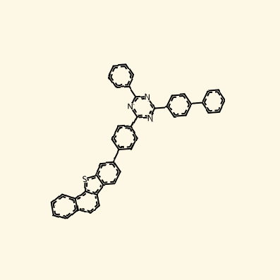 c1ccc(-c2ccc(-c3nc(-c4ccccc4)nc(-c4ccc(-c5ccc6c(c5)sc5c7ccccc7ccc65)cc4)n3)cc2)cc1